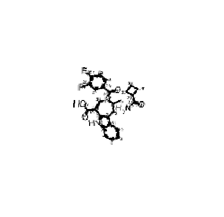 CC1Cc2c([nH]c3ccccc23)C(C(=O)O)=CN1C(=O)c1ccc(F)c(F)c1.NC(=O)C1CCC1